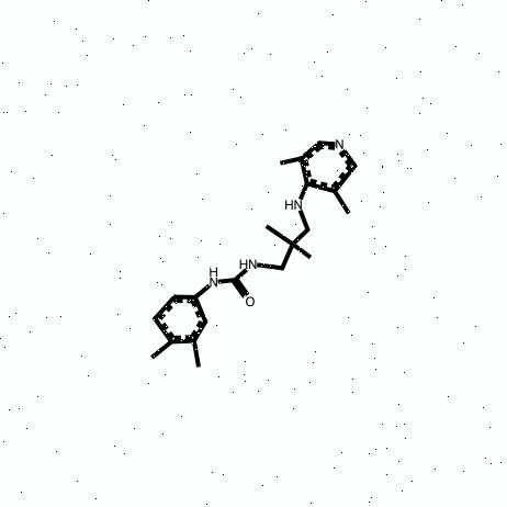 Cc1ccc(NC(=O)NCC(C)(C)CNc2c(C)cncc2C)cc1C